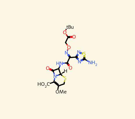 COC1=C(C(=O)O)N2C(=O)C(NC(=O)C(=NOCC(=O)OC(C)(C)C)c3nsc(N)n3)[C@@H]2SC1